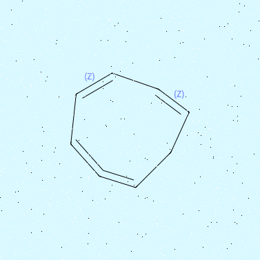 C1=C/C=C\C=C/CC=1